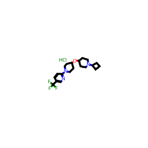 Cl.FC(F)(F)c1ccc(N2CCC(OC3CCN(C4CCC4)CC3)CC2)nc1